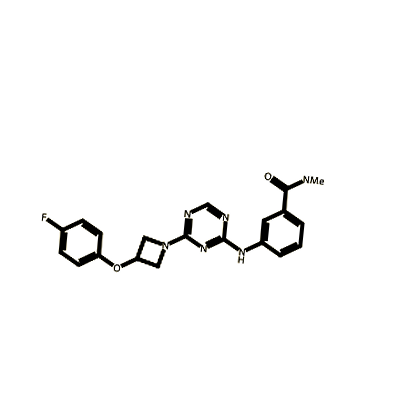 CNC(=O)c1cccc(Nc2ncnc(N3CC(Oc4ccc(F)cc4)C3)n2)c1